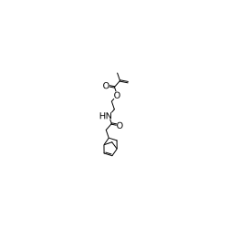 C=C(C)C(=O)OCCNC(=O)CC1CC2C=CC1C2